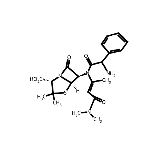 CC(=CC(=O)N(C)C)N(C(=O)C(N)c1ccccc1)[C@@H]1C(=O)N2[C@@H]1SC(C)(C)[C@@H]2C(=O)O